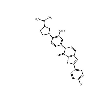 COc1cc(-n2ccc3cc(-c4ccc(Cl)cc4)sc3c2=O)ccc1N1CCC(N(C)C)C1